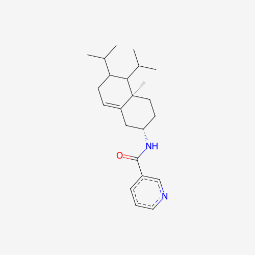 CC(C)C1CC=C2C[C@@H](NC(=O)c3cccnc3)CC[C@]2(C)C1C(C)C